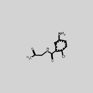 CC(=O)CNC(=O)c1cc(N)ccc1Cl